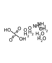 N.N.O.O.O.O.O.O=S(=O)(O)O